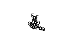 COc1ccc(COc2c3c(c(N(C)S(C)(=O)=O)c4cccnc24)CN(Cc2c(F)cc(F)cc2F)C3=O)cc1